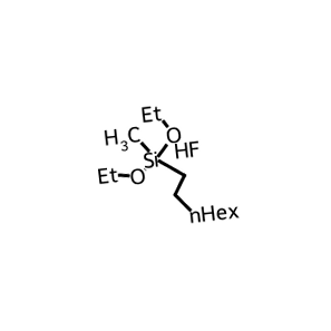 CCCCCCCC[Si](C)(OCC)OCC.F